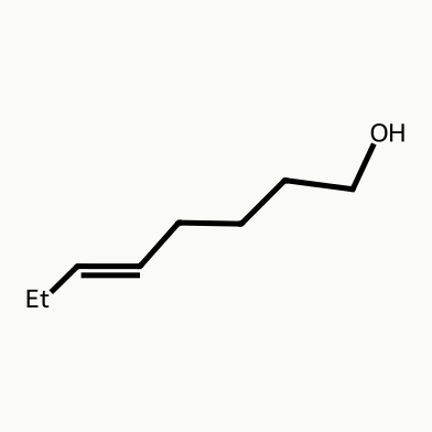 [CH2]C/C=C/CCCCO